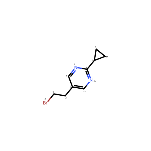 BrCCc1cnc(C2CC2)nc1